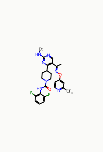 CCNc1ncc(/C(C)=N/Oc2ccnc(C(F)(F)F)c2)c(C2CCN(C(=O)Nc3c(F)cccc3F)CC2)n1